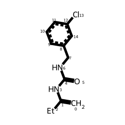 C=C(CC)NC(=O)NCc1cccc(Cl)c1